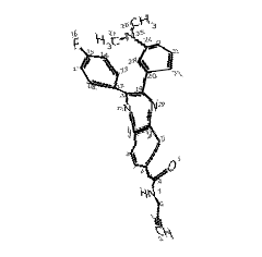 C#CCNC(=O)c1ccc2nc(-c3ccc(F)cc3)c(-c3cccc(N(C)C)c3)nc2c1